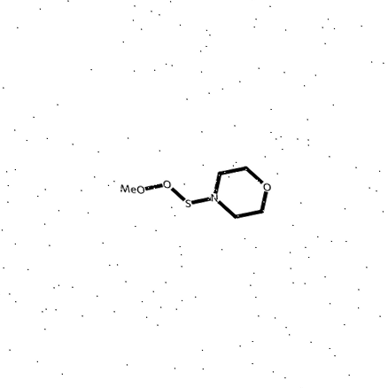 COOSN1CCOCC1